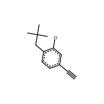 C#Cc1ccc(CC(C)(C)C)c(Cl)c1